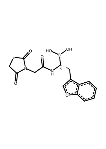 O=C(CN1C(=O)CSC1=O)N[C@@H](Cc1coc2ccccc12)B(O)O